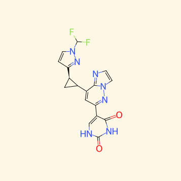 O=c1[nH]cc(-c2cc(C3C[C@H]3c3ccn(C(F)F)n3)c3nccn3n2)c(=O)[nH]1